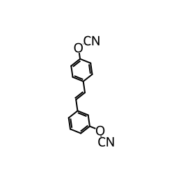 N#COc1ccc(/C=C/c2cccc(OC#N)c2)cc1